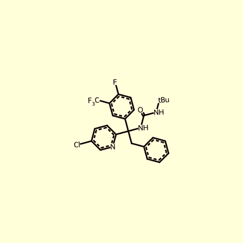 CC(C)(C)NC(=O)NC(Cc1ccccc1)(c1ccc(F)c(C(F)(F)F)c1)c1ccc(Cl)cn1